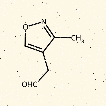 Cc1nocc1CC=O